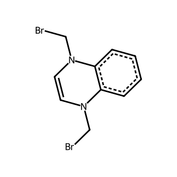 BrCN1C=CN(CBr)c2ccccc21